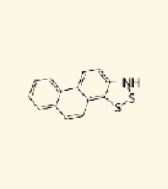 c1ccc2c(c1)ccc1c3c(ccc12)NSS3